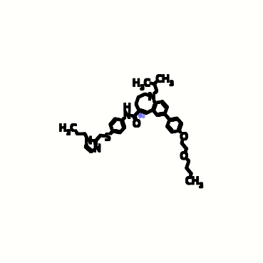 CCCCOCCOc1ccc(-c2ccc3c(c2)/C=C(/C(=O)Nc2ccc(SCc4nccn4CCC)cc2)CCCN3CC(C)C)cc1